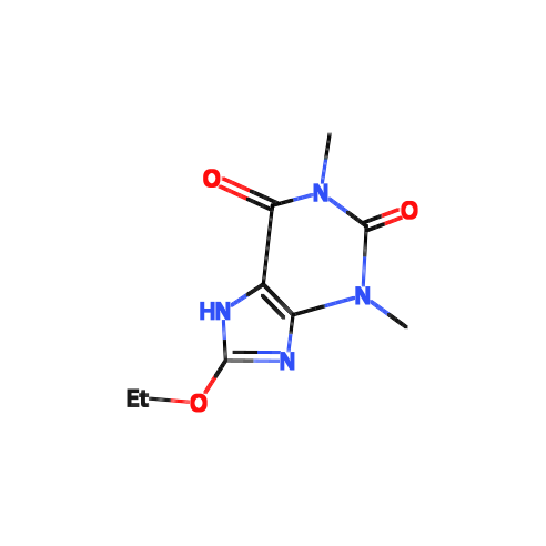 CCOc1nc2c([nH]1)c(=O)n(C)c(=O)n2C